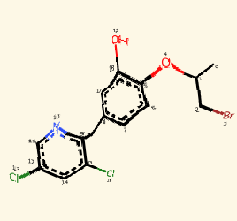 CC(CBr)Oc1ccc(-c2ncc(Cl)cc2Cl)cc1O